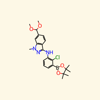 COC(OC)c1ccc2c(Nc3cccc(B4OC(C)(C)C(C)(C)O4)c3Cl)nn(C)c2c1